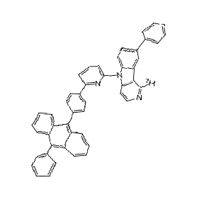 [2H]c1nccc2c1c1cc(-c3ccccc3)ccc1n2-c1cccc(-c2ccc(-c3c4ccccc4c(-c4ccccc4)c4ccccc34)cc2)n1